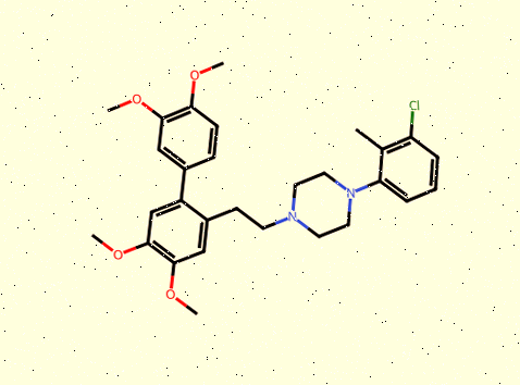 COc1ccc(-c2cc(OC)c(OC)cc2CCN2CCN(c3cccc(Cl)c3C)CC2)cc1OC